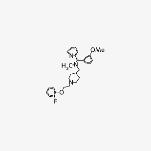 COc1cccc([C@H](c2ccccn2)N(C)CC2CCN(CCOc3ccccc3F)CC2)c1